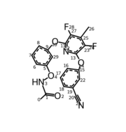 CC(=O)NOc1cccc(Oc2nc(Oc3cccc(C#N)c3)c(F)c(C)c2F)c1